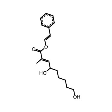 CC(=CC(O)CCCCCO)C(=O)OC=Cc1ccccc1